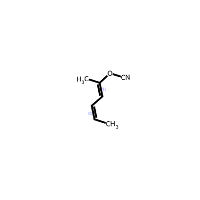 C/C=C\C=C(/C)OC#N